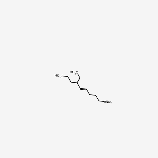 CCCCCCCCCCCCC=CC(CCC(=O)O)CC(=O)O